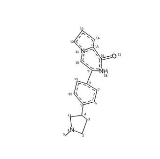 CN1CCC(c2ccc(-c3cn4cccc4c(=O)[nH]3)cc2)C1